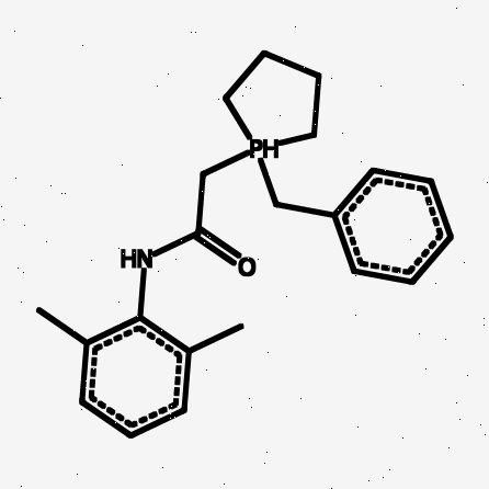 Cc1cccc(C)c1NC(=O)C[PH]1(Cc2ccccc2)CCCC1